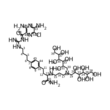 N=C(NCCCCc1ccc(CCC(NCCCN(CC(O)C(O)C(O)C(O)CO)CC(O)C(O)C(O)C(O)CO)C(N)=O)cc1)NC(=O)c1nc(Cl)c(N)nc1N